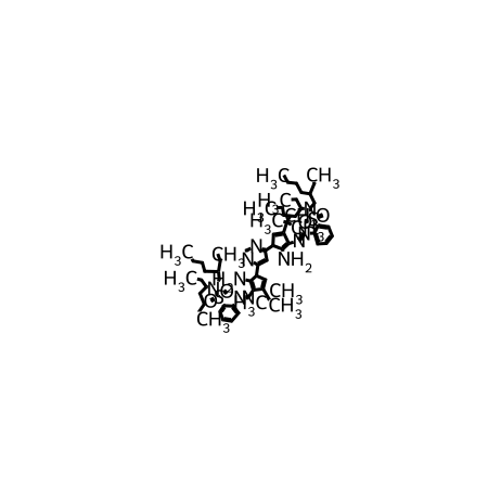 CCCCC(CC)CN(C(CC)CCCC)S(=O)(=O)c1ccccc1/N=N/C1=C(N)C(c2cc(C3C=C(C(C)(C)C)C(/N=N/c4ccccc4S(=O)(=O)N(CC(CC)CCCC)C(CC)CCCC)=C3N)ncn2)C=C1C(C)(C)C